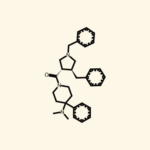 CN(C)C1(c2ccccc2)CCN(C(=O)[C@@H]2CN(Cc3ccccc3)C[C@H]2Cc2ccccc2)CC1